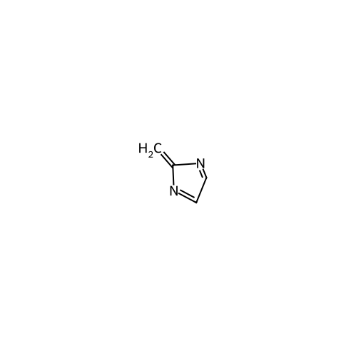 C=C1N=CC=N1